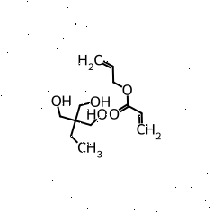 C=CCOC(=O)C=C.CCC(CO)(CO)CO